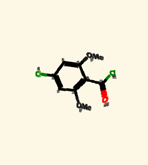 COc1cc(Cl)cc(OC)c1C(=O)Cl